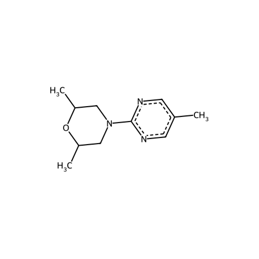 Cc1cnc(N2CC(C)OC(C)C2)nc1